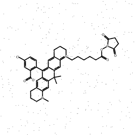 CN1CCCc2cc3c(cc21)C(C)(C)c1cc2c(cc1=C3c1ccc(Cl)cc1C(=O)[O-])CCC[N+]=2CCCCCC(=O)ON1C(=O)CCC1=O